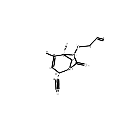 C=CCON1C(=O)N2C[C@H]1C(C)=C[C@H]2C#N